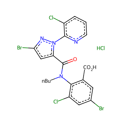 CCCCN(C(=O)c1cc(Br)nn1-c1ncccc1Cl)c1c(Cl)cc(Br)cc1C(=O)O.Cl